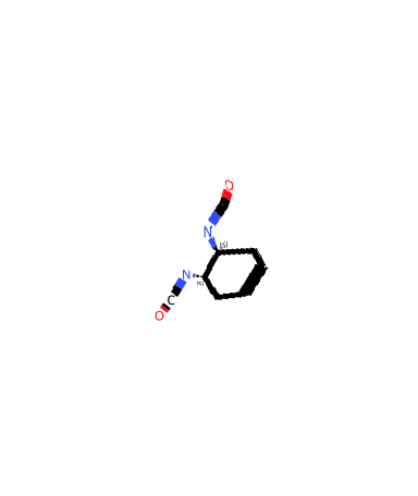 O=C=N[C@H]1CC#CC[C@@H]1N=C=O